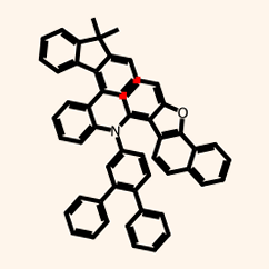 CC1(C)c2ccccc2-c2c(-c3ccccc3N(c3ccc(-c4ccccc4)c(-c4ccccc4)c3)c3cccc4oc5c6ccccc6ccc5c34)cccc21